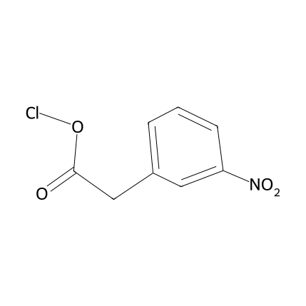 O=C(Cc1cccc([N+](=O)[O-])c1)OCl